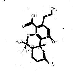 CCCc1cc(O)c2c(c1C(=O)O)OC(C)(C)[C@@H]1CCC(C)=C[C@@H]21